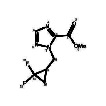 COC(=O)c1ncnn1CC1CC1(F)F